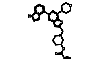 CNC(=O)O[C@H]1CCCN(Cc2cc3nc(-c4cccc5[nH]ncc45)nc(N4CCOCC4)c3s2)C1